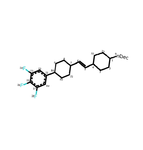 CCCCCCCCCCC1CCC(/C=C/C2CCC(c3cc(F)c(F)c(F)c3)CC2)CC1